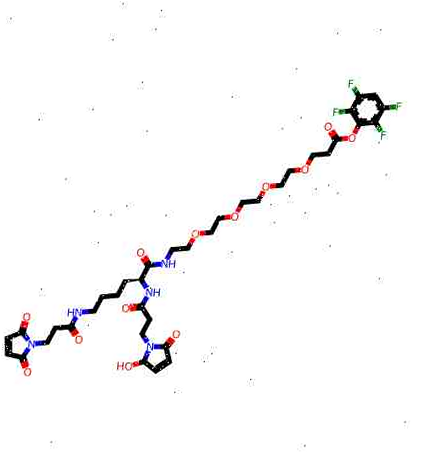 O=C(CCN1C(=O)C=CC1=O)NCCCC[C@H](NC(=O)CCN1C(=O)C=CC1O)C(=O)NCCOCCOCCOCCOCCC(=O)Oc1c(F)c(F)cc(F)c1F